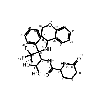 CC(O)C(NC(=O)C1CCCC(=O)N1)C(NC1CCOc2ccccc21)(c1ccccc1)C(F)(F)F